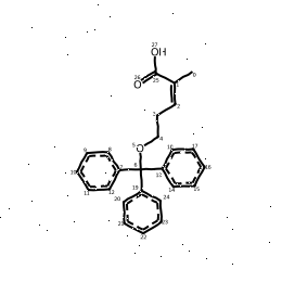 CC(=CCCOC(c1ccccc1)(c1ccccc1)c1ccccc1)C(=O)O